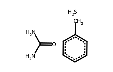 Cc1ccccc1.NC(N)=O.S